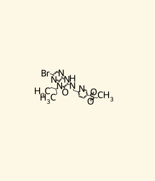 CCC(CC)n1c(=O)c(NCc2ccc(S(=O)(=O)CC)cn2)nc2ncc(Br)nc21